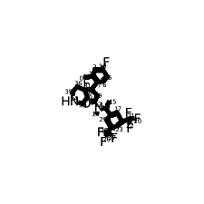 Cc1cc(F)ccc1C(CC(=O)N(C)C(C)c1cc(C(F)(F)F)cc(C(F)(F)F)c1)C1(F)CCNCC1